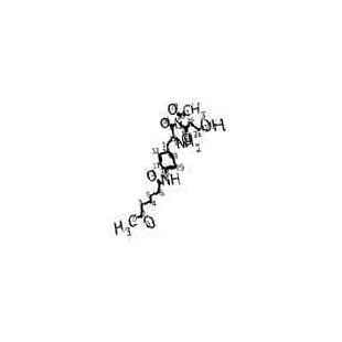 CC(=O)CCCCC(=O)Nc1ccc(C[C@H](N)C(=O)N(C(C)=O)C(=O)CCO)cc1